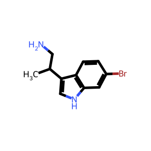 CC(CN)c1c[nH]c2cc(Br)ccc12